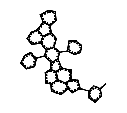 Cc1cccc(-c2cc3ccc4ccc5c6c(-c7ccccc7)c7c(cc8c9ccccc9c9cccc7c98)c(-c7ccccc7)c6c6cc(c2)c3c4c65)n1